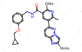 COc1nc(C)c(-c2ccc3nc(NC(C)=O)cn3n2)cc1C(=O)NCc1cccc(OCC2CC2)c1